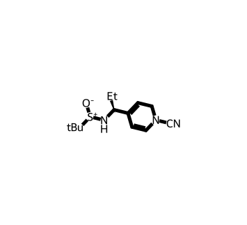 CC[C@H](N[S+]([O-])C(C)(C)C)C1=CCN(C#N)C=C1